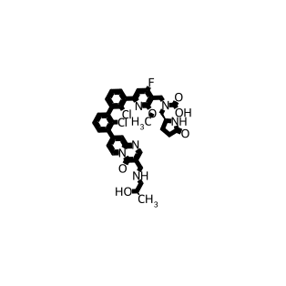 COc1nc(-c2cccc(-c3cccc(-c4ccn5c(=O)c(CNC[C@H](C)O)cnc5c4)c3Cl)c2Cl)cc(F)c1CN(C[C@@H]1CCC(=O)N1)C(=O)O